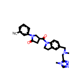 CN(Cc1ccc2c(c1)CCN2C(=O)C1CC(=O)N(c2cccc(C#N)c2)C1)Cc1nncn1C